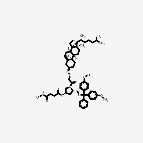 CNC(=O)CCC(=O)O[C@@H]1C[C@@H](COC(c2ccccc2)(c2ccc(OC)cc2)c2ccc(OC)cc2)N(C(=O)CO/N=C2\CC[C@@]3(C)C(=CC[C@H]4[C@@H]5CC[C@H]([C@H](C)CCCC(C)C)[C@@]5(C)CC[C@@H]43)C2)C1